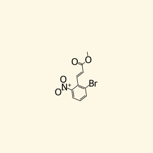 COC(=O)C=Cc1c(Br)cccc1[N+](=O)[O-]